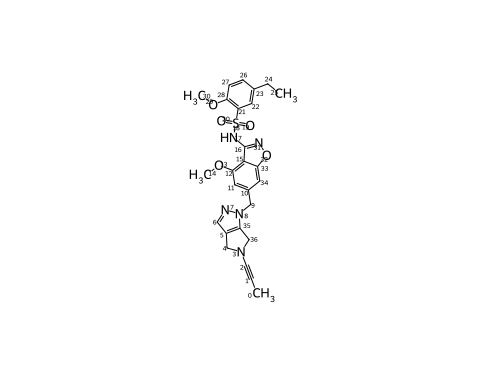 CC#CN1Cc2cnn(Cc3cc(OC)c4c(NS(=O)(=O)c5cc(CC)ccc5OC)noc4c3)c2C1